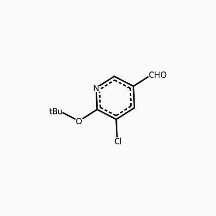 CC(C)(C)Oc1ncc(C=O)cc1Cl